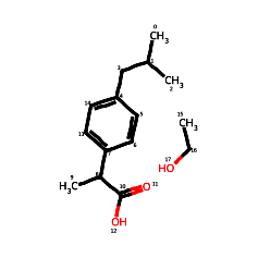 CC(C)Cc1ccc(C(C)C(=O)O)cc1.CCO